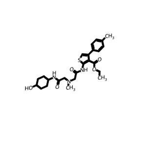 CCOC(=O)c1c(-c2ccc(C)cc2)csc1NC(=O)CN(C)CC(=O)NC1CCC(O)CC1